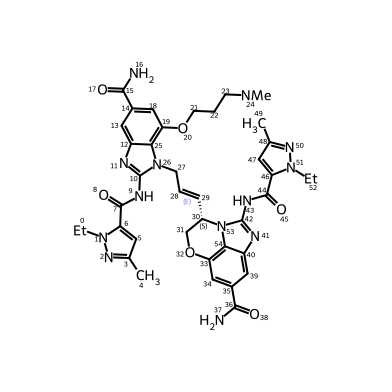 CCn1nc(C)cc1C(=O)Nc1nc2cc(C(N)=O)cc(OCCCNC)c2n1C/C=C/[C@H]1COc2cc(C(N)=O)cc3nc(NC(=O)c4cc(C)nn4CC)n1c23